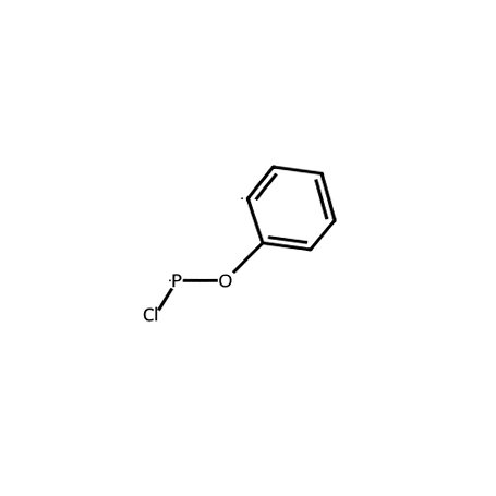 Cl[P]Oc1[c]cccc1